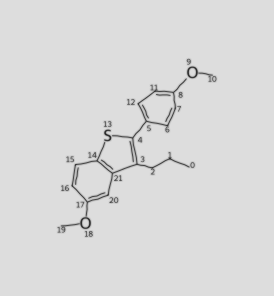 CCCc1c(-c2ccc(OC)cc2)sc2ccc(OC)cc12